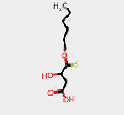 CCCCCCOC(=S)C(O)CC(=O)O